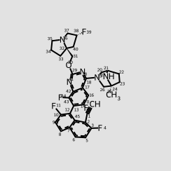 C#Cc1c(F)ccc2ccc(F)c(-c3c(F)cc4c(N5CC6CC[C@@](C)(C5)N6)nc(OC[C@@]56CCCN5C[C@H](F)C6)nc4c3F)c12